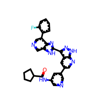 O=C(Nc1cncc(-c2cnc3[nH]nc(-c4nc5c(-c6ccccc6F)cncc5[nH]4)c3c2)c1)C1CCCC1